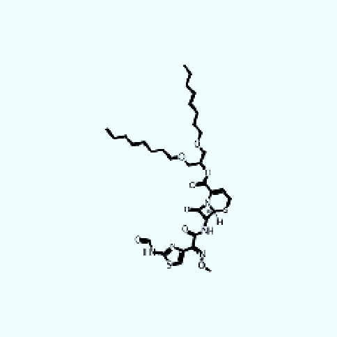 CCCCCCCCOCC(COCCCCCCCC)OC(=O)C1=CCS[C@H]2C(NC(=O)C(=NOC)c3csc(NC=O)n3)C(=O)N12